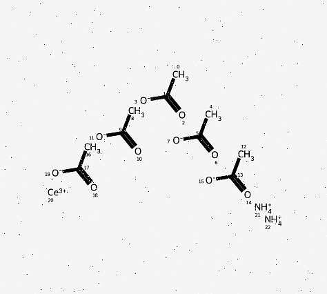 CC(=O)[O-].CC(=O)[O-].CC(=O)[O-].CC(=O)[O-].CC(=O)[O-].[Ce+3].[NH4+].[NH4+]